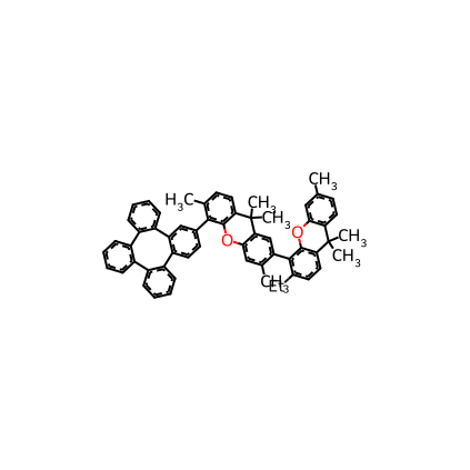 CCc1ccc2c(c1-c1cc3c(cc1C)Oc1c(ccc(C)c1-c1ccc4c(c1)-c1ccccc1-c1ccccc1-c1ccccc1-4)C3(C)C)Oc1cc(C)ccc1C2(C)C